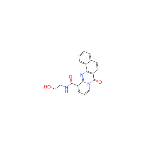 O=C(NCCO)c1cccn2c(=O)c3ccc4ccccc4c3nc12